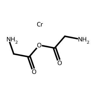 NCC(=O)OC(=O)CN.[Cr]